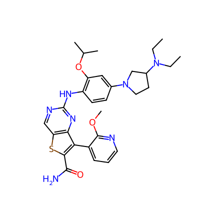 CCN(CC)C1CCN(c2ccc(Nc3ncc4sc(C(N)=O)c(-c5cccnc5OC)c4n3)c(OC(C)C)c2)C1